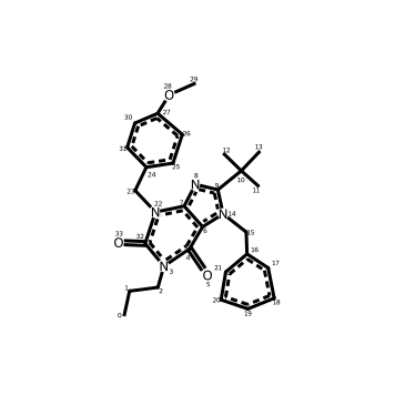 CCCn1c(=O)c2c(nc(C(C)(C)C)n2Cc2ccccc2)n(Cc2ccc(OC)cc2)c1=O